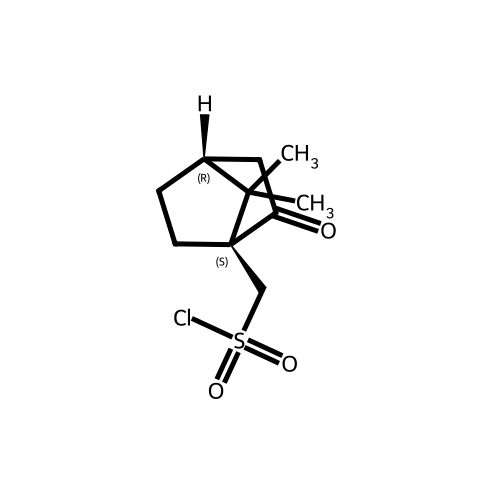 CC1(C)[C@@H]2CC[C@@]1(CS(=O)(=O)Cl)C(=O)C2